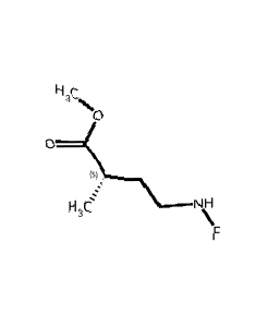 COC(=O)[C@@H](C)CCNF